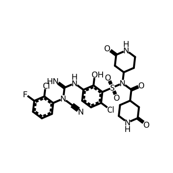 N#CN(C(=N)Nc1ccc(Cl)c(S(=O)(=O)N(C(=O)C2CCNC(=O)C2)C2CCNC(=O)C2)c1O)c1cccc(F)c1Cl